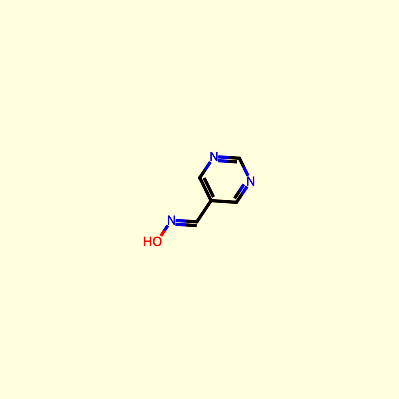 ON=Cc1cncnc1